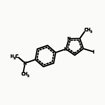 Cc1nn(-c2ccc(N(C)C)cc2)cc1I